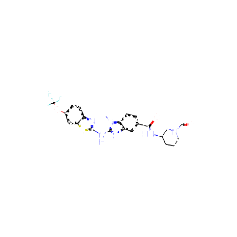 Cn1c(Nc2nc3ccc(OC(F)(F)F)cc3s2)nc2cc(C(=O)NC3CCCN(C=O)C3)ccc21